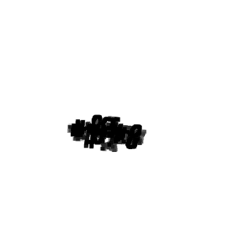 C[C@H]1Cc2oc(C(=O)NCc3ccn(C)n3)c(C(F)(F)F)c2-c2nn(C[C@H]3COCCO3)cc21